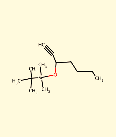 C#CC(CCCC)O[Si](C)(C)C(C)(C)C